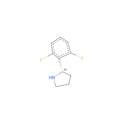 Fc1cccc(F)c1[C@@H]1CCCN1